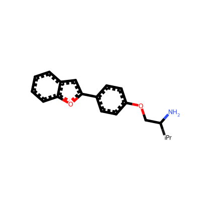 CC(C)C(N)COc1ccc(-c2cc3ccccc3o2)cc1